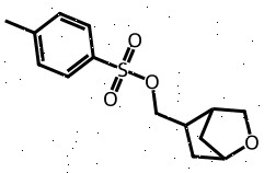 Cc1ccc(S(=O)(=O)OCC2CC3CC2CO3)cc1